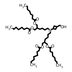 CCCCCCCC(=O)OCC(CCCCN(CCCCC(COC(=O)CCCCCCC)COC(=O)CCCCCCC)C1CC(CO)C1)COC(=O)CCCCCCC